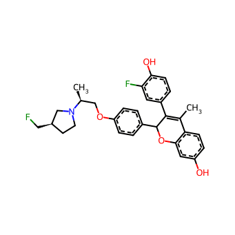 CC1=C(c2ccc(O)c(F)c2)C(c2ccc(OC[C@H](C)N3CC[C@@H](CF)C3)cc2)Oc2cc(O)ccc21